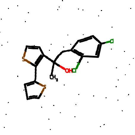 CC(O)(Cc1ccc(Cl)cc1Cl)c1ccsc1-c1cccs1